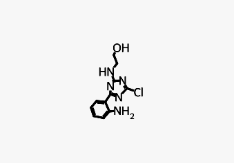 Nc1ccccc1-c1nc(Cl)nc(NCCO)n1